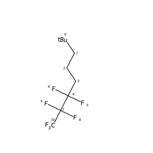 CC(C)(C)CCCC(F)(F)C(F)(F)C(F)(F)F